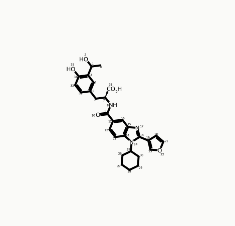 CC(O)c1cc(C[C@H](NC(=O)c2ccc3c(c2)nc(-c2ccoc2)n3C2CCCCC2)C(=O)O)ccc1O